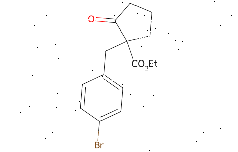 CCOC(=O)C1(Cc2ccc(Br)cc2)CCCC1=O